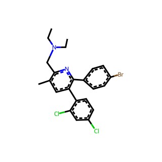 CCN(CC)Cc1nc(-c2ccc(Br)cc2)c(-c2ccc(Cl)cc2Cl)cc1C